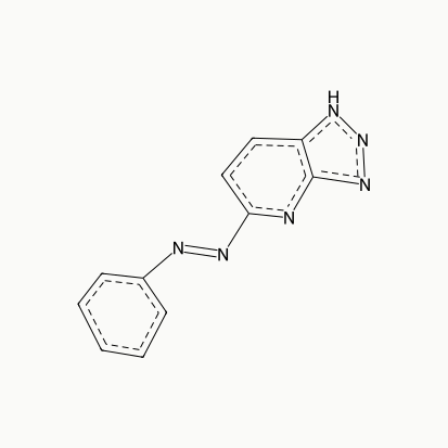 c1ccc(N=Nc2ccc3[nH]nnc3n2)cc1